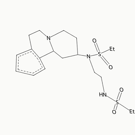 CCS(=O)(=O)NCCN(C1CCN2CCc3ccccc3C2C1)S(=O)(=O)CC